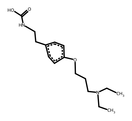 CCN(CC)CCCOc1ccc(CCNC(=O)O)cc1